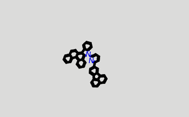 c1cc(-c2ccc3c(c2)-c2cccc4cccc-3c24)nc(-n2c3ccccc3c3c4ccc5ccccc5c4c4ccccc4c32)c1